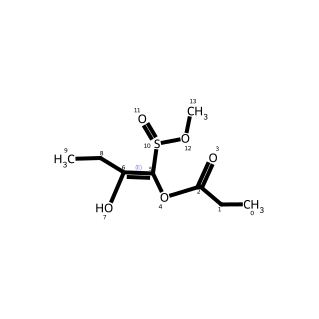 CCC(=O)O/C(=C(\O)CC)S(=O)OC